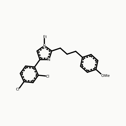 CCn1cc(-c2ccc(Cl)cc2Cl)nc1CCCc1ccc(OC)cc1